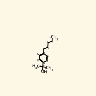 CCCC[CH]c1ccc(C(C)(C)O)cc1